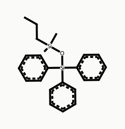 CC[CH][Si](C)(C)O[Si](c1ccccc1)(c1ccccc1)c1ccccc1